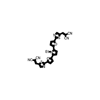 CCn1c(-c2ccc(-c3ncc(C=C(C#N)C#N)s3)o2)ccc1-c1ccc(-c2ncc(C=C(C#N)C#N)s2)o1